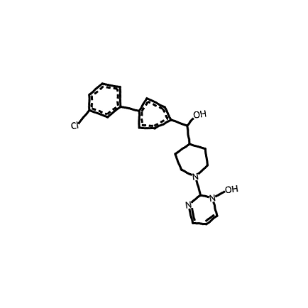 OC(c1ccc(-c2cccc(Cl)c2)cc1)C1CCN(C2N=CC=CN2O)CC1